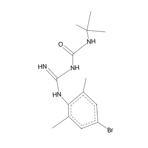 Cc1cc(Br)cc(C)c1NC(=N)NC(=O)NC(C)(C)C